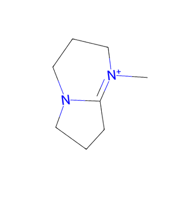 C[N+]1=C2CCCN2CCC1